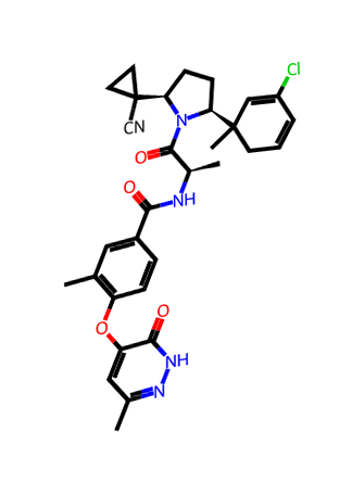 Cc1cc(Oc2ccc(C(=O)N[C@H](C)C(=O)N3[C@H](C4(C)C=C(Cl)C=CC4)CC[C@@H]3C3(C#N)CC3)cc2C)c(=O)[nH]n1